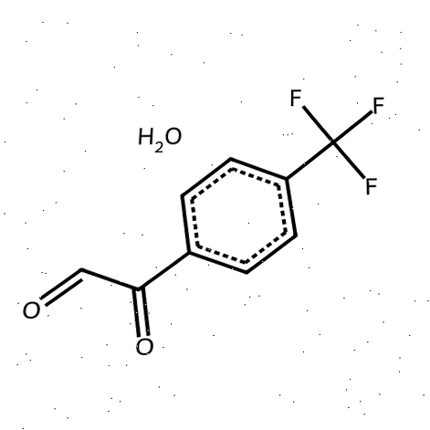 O.O=CC(=O)c1ccc(C(F)(F)F)cc1